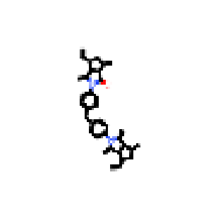 C=CC1CC(C)C2C(=C)N(c3ccc(Cc4ccc(N5C(=C)C6C(C=C)CC(C)C6C5=O)cc4)cc3)C(=C)C12